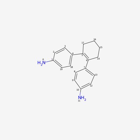 Nc1ccc(C2=C(c3ccc(N)cc3)CCCC2)cc1